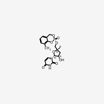 Cc1cccc2c1OP(=O)(OC[C@]1(F)C[C@@H](O)[C@H](n3ccc(=O)[nH]c3=O)O1)OC2